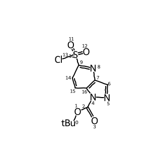 CC(C)(C)OC(=O)n1ncc2nc(S(=O)(=O)Cl)ccc21